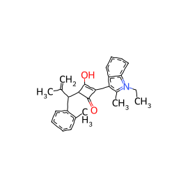 C=C(C)C(c1ccccc1C)C1C(=O)C(c2c(C)n(CC)c3ccccc23)=C1O